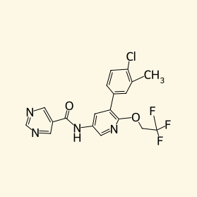 Cc1cc(-c2cc(NC(=O)c3cncnc3)cnc2OCC(F)(F)F)ccc1Cl